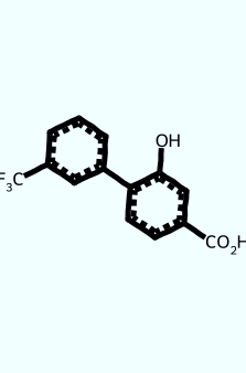 O=C(O)c1ccc(-c2cccc(C(F)(F)F)c2)c(O)c1